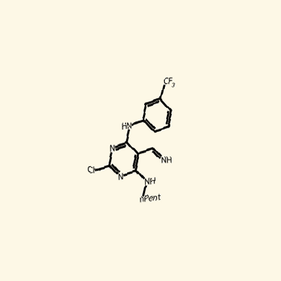 CCCCCNc1nc(Cl)nc(Nc2cccc(C(F)(F)F)c2)c1C=N